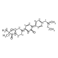 CCN(C)Cc1ccc(-n2ccc(N3CCN(C(=O)C(C)(C)N)CC3)nc2=O)cc1